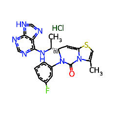 CC1=CSC2=C[C@@H](C(C)Nc3ncnc4[nH]cnc34)N(c3cccc(F)c3)C(=O)N12.Cl